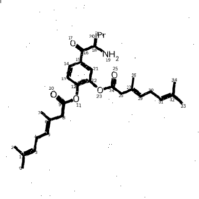 CC(C)=CC/C=C(\C)CC(=O)Oc1ccc(C(=O)C(N)C(C)C)cc1OC(=O)C/C(C)=C/CC=C(C)C